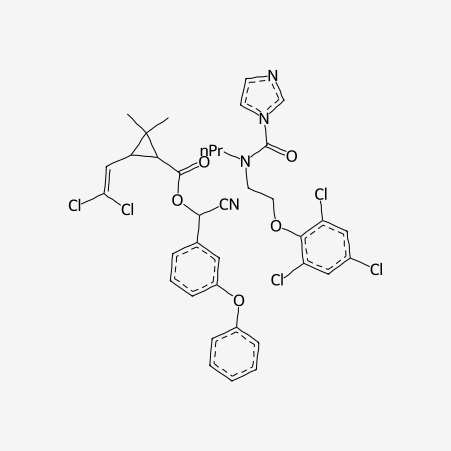 CC1(C)C(C=C(Cl)Cl)C1C(=O)OC(C#N)c1cccc(Oc2ccccc2)c1.CCCN(CCOc1c(Cl)cc(Cl)cc1Cl)C(=O)n1ccnc1